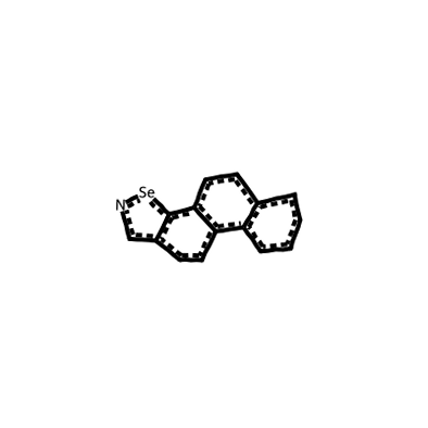 c1ccc2c(c1)ccc1c2ccc2cn[se]c21